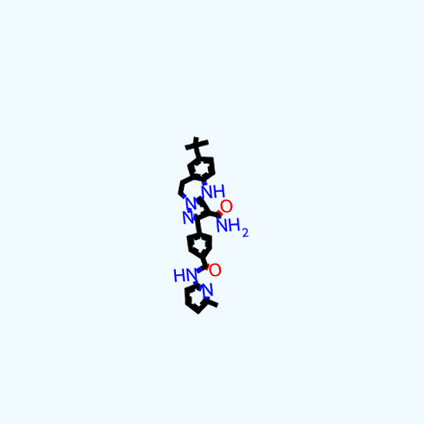 Cc1cccc(NC(=O)c2ccc(-c3nn4c(c3C(N)=O)Nc3ccc(C(C)(C)C)cc3CC4)cc2)n1